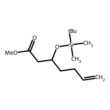 C=CCCC(CC(=O)OC)O[Si](C)(C)C(C)(C)C